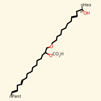 CCCCCC=CCC=CCCCCCCCCC(COCCCCCCCCC=CC[C@H](O)CCCCCC)OC(=O)O